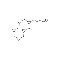 CCC1CC1CC1CC1CC1CC1CC1CC1CC1CC1CCCC=O